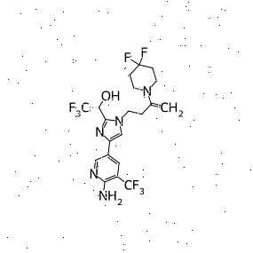 C=C(CCn1cc(-c2cnc(N)c(C(F)(F)F)c2)nc1[C@@H](O)C(F)(F)F)N1CCC(F)(F)CC1